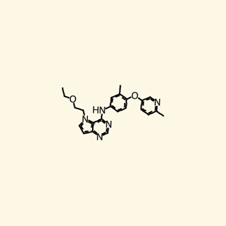 CCOCCn1ccc2ncnc(Nc3ccc(Oc4ccc(C)nc4)c(C)c3)c21